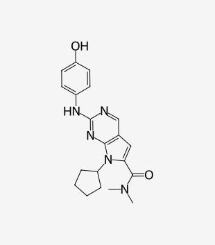 CN(C)C(=O)c1cc2cnc(Nc3ccc(O)cc3)nc2n1C1CCCC1